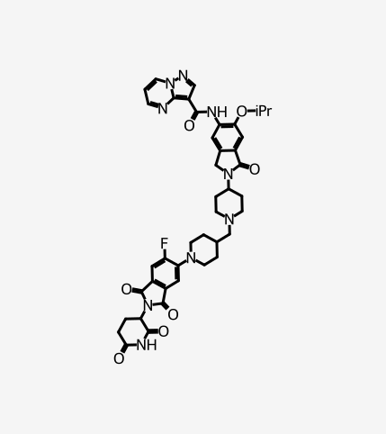 CC(C)Oc1cc2c(cc1NC(=O)c1cnn3cccnc13)CN(C1CCN(CC3CCN(c4cc5c(cc4F)C(=O)N(C4CCC(=O)NC4=O)C5=O)CC3)CC1)C2=O